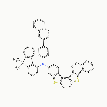 CC1(C)c2ccccc2-c2c(N(c3ccc(-c4ccc5ccccc5c4)cc3)c3ccc4c(c3)sc3ccc5sc6c7ccccc7ccc6c5c34)cccc21